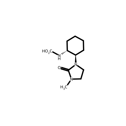 CN1CCN([C@@H]2CCCC[C@H]2NC(=O)O)C1=O